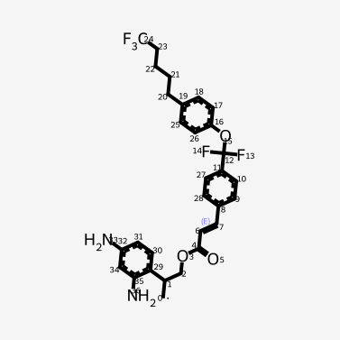 [CH2]C(COC(=O)/C=C/c1ccc(C(F)(F)Oc2ccc(CCCCC(F)(F)F)cc2)cc1)c1ccc(N)cc1N